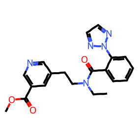 CCN(CCc1cncc(C(=O)OC)c1)C(=O)c1ccccc1-n1nccn1